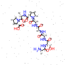 C[C@H](N)C(=O)N[C@@H](CO)C(=O)NCC(=O)NCC(=O)NCC(=O)N1CCC[C@H]1C(=O)N[C@@H](C)C(=O)N1CCC[C@H]1C(=O)O